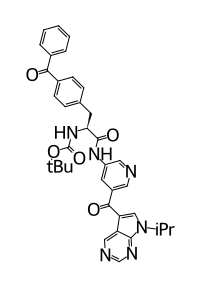 CC(C)n1cc(C(=O)c2cncc(NC(=O)[C@H](Cc3ccc(C(=O)c4ccccc4)cc3)NC(=O)OC(C)(C)C)c2)c2cncnc21